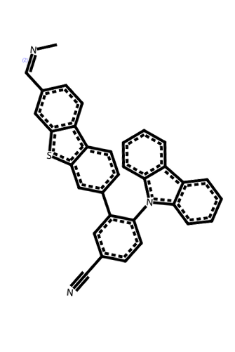 C/N=C\c1ccc2c(c1)sc1cc(-c3cc(C#N)ccc3-n3c4ccccc4c4ccccc43)ccc12